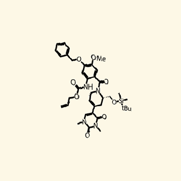 C=CCOC(=O)Nc1cc(OCc2ccccc2)c(OC)cc1C(=O)N1CC=C(c2cn(C)c(=O)n(C)c2=O)C[C@H]1CO[Si](C)(C)C(C)(C)C